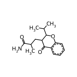 CC(CC1C(=O)c2ccccc2OC1C(C)C)C(N)=O